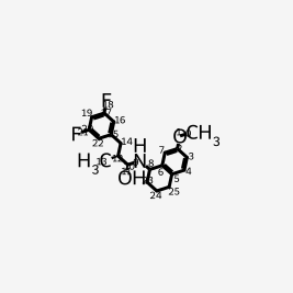 COc1ccc2c(c1)C(N[C@@H](O)[C@@H](C)Cc1cc(F)cc(F)c1)CCC2